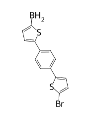 Bc1ccc(-c2ccc(-c3ccc(Br)s3)cc2)s1